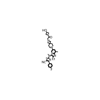 CCc1nc2c(C)cc(N3CCC4(CC3)CN(CC(=O)N3CC(O)C3)C4)cn2c1N(C)c1nc(-c2ccc(F)cc2)c(C#N)s1